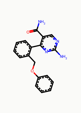 NC(=O)c1cnc(N)nc1-c1ccccc1COc1ccccc1